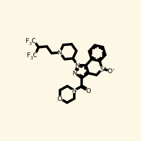 O=C(c1nn(C2CCCN(CCC(C(F)(F)F)C(F)(F)F)C2)c2c1C[S+]([O-])c1ccccc1-2)N1CCOCC1